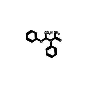 NC(=O)N(c1ccccc1)C(Oc1ccccc1)C(=O)O